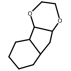 C1CCC2C(C1)CC1OCCOC12